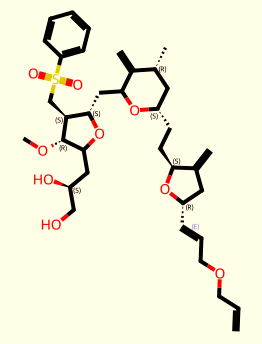 C=CCOC/C=C/[C@H]1CC(=C)[C@H](CC[C@H]2C[C@@H](C)C(=C)C(C[C@@H]3OC(C[C@H](O)CO)[C@H](OC)[C@H]3CS(=O)(=O)c3ccccc3)O2)O1